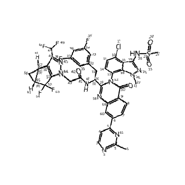 Cc1nccc(-c2ccc3c(=O)n(-c4ccc(Cl)c5c(NS(C)(=O)=O)nn(C)c45)c([C@H](Cc4cc(F)cc(F)c4)NC(=O)Cn4nc(C(F)F)c5c4C(F)(F)[C@@H]4C[C@H]54)nc3c2)n1